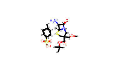 COCC1(C(=O)OC(C)(C)C)CS[C@@H]2C(N)C(=O)N2C1.Cc1ccc(S(=O)(=O)O)cc1